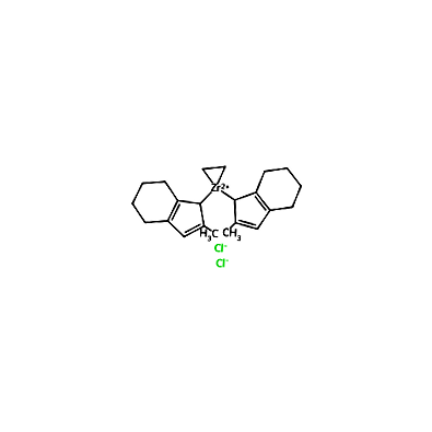 CC1=CC2=C(CCCC2)[CH]1[Zr+2]1([CH]2C(C)=CC3=C2CCCC3)[CH2][CH2]1.[Cl-].[Cl-]